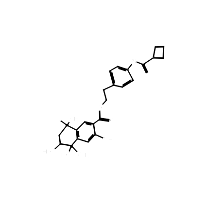 Cc1cc2c(cc1C(=O)OCCc1ccc(NC(=O)C3CCC3)cc1)C(C)(C)CC(C)C2(C)C